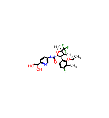 CCOc1c([C@H]2[C@H](C(=O)Nc3ccc([C@@H](O)CO)nc3)O[C@@](C)(C(F)(F)F)[C@H]2C)ccc(F)c1C